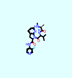 CN[C@@H](C)C(=O)NC(C(=O)N1c2ncccc2CC1C(=O)Nc1ccncc1F)C(C)C